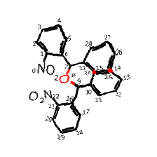 O=[N+]([O-])c1ccccc1C(OC(c1ccccc1)c1ccccc1[N+](=O)[O-])c1ccccc1